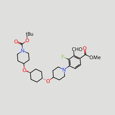 COC(=O)c1ccc(N2CCC(O[C@H]3CC[C@H](OC4CCN(C(=O)OC(C)(C)C)CC4)CC3)CC2)c(F)c1C=O